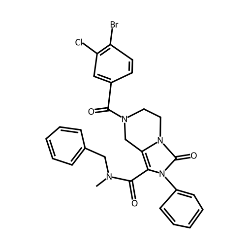 CN(Cc1ccccc1)C(=O)c1c2n(c(=O)n1-c1ccccc1)CCN(C(=O)c1ccc(Br)c(Cl)c1)C2